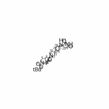 CC(C)(C)OC(=O)N1CCC(CC(=O)N2CCC(c3ccc(NC4CCC(=O)NC4=O)cc3)CC2)C(F)(F)C1